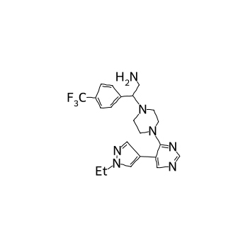 CCn1cc(-c2cncnc2N2CCN(C(CN)c3ccc(C(F)(F)F)cc3)CC2)cn1